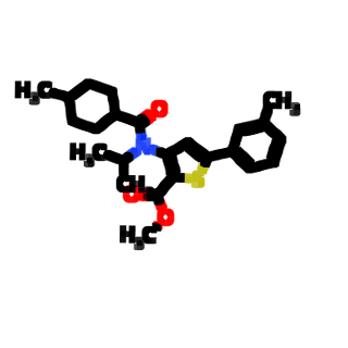 COC(=O)c1sc(-c2cccc(C)c2)cc1N(C(=O)C1CCC(C)CC1)C(C)C